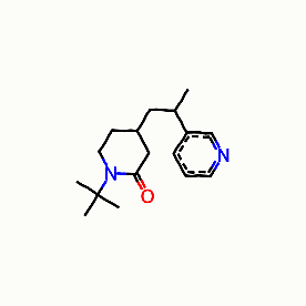 CC(CC1CCN(C(C)(C)C)C(=O)C1)c1cccnc1